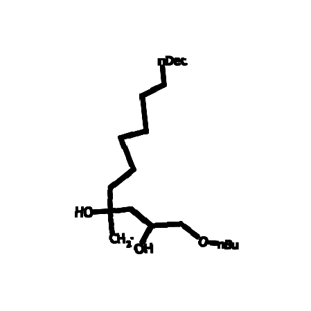 [CH2]C(O)(CCCCCCCCCCCCCCCC)CC(O)COCCCC